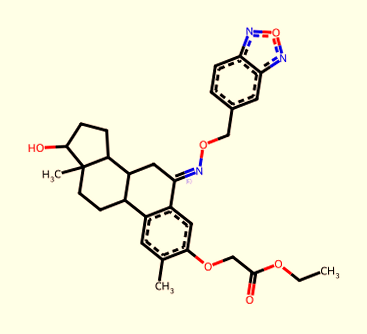 CCOC(=O)COc1cc2c(cc1C)C1CCC3(C)C(O)CCC3C1C/C2=N\OCc1ccc2nonc2c1